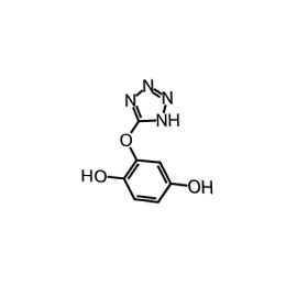 Oc1ccc(O)c(Oc2nnn[nH]2)c1